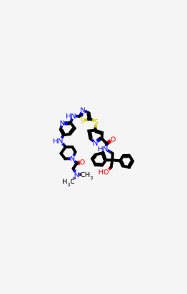 CN(C)CC(=O)N1CCC(Nc2ccc(Nc3ncc(Sc4ccnc(C(=O)NCC(CO)(c5ccccc5)c5ccccc5)c4)s3)nc2)CC1